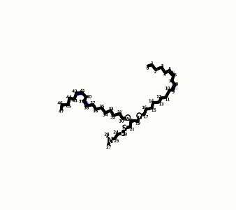 CCCCC/C=C\C/C=C\CCCCCCCCOCC(CSSCCN(C)C)OCCCCCCCC/C=C\C/C=C\CCCCC